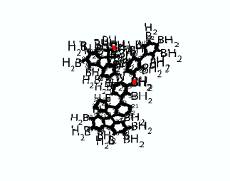 Bc1c(B)c(B)c(-c2c(B)c(B)c(N(c3c(B)c(B)c(-c4cccc5c4-c4ccccc4C54c5c(B)c(B)c(B)c(B)c5-c5c(B)c(B)c(B)c(B)c54)c(B)c3B)c3c(B)c(B)c4c(c3B)C(C(B)(B)B)(C(B)(B)B)c3c(B)c(B)c(B)c(B)c3-4)c(B)c2B)c(B)c1B